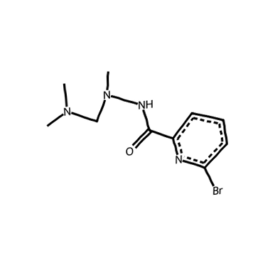 CN(C)CN(C)NC(=O)c1cccc(Br)n1